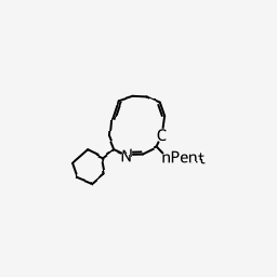 CCCCCC1C=NC(C2CCCCC2)CC=CCCC=CC1